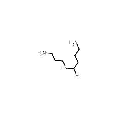 CCC(CCCN)NCCCN